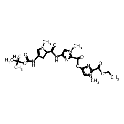 CCOC(=O)c1nc(OC(=O)c2nc(NC(=O)C3CC(NC(=O)OC(C)(C)C)=CN3C)cn2C)cn1C